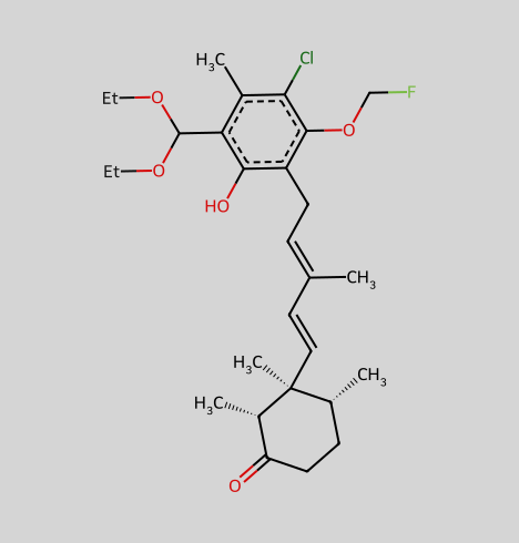 CCOC(OCC)c1c(C)c(Cl)c(OCF)c(C/C=C(C)/C=C/[C@@]2(C)[C@H](C)CCC(=O)[C@@H]2C)c1O